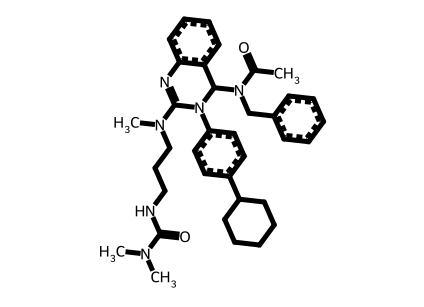 CC(=O)N(Cc1ccccc1)C1c2ccccc2N=C(N(C)CCCNC(=O)N(C)C)N1c1ccc(C2CCCCC2)cc1